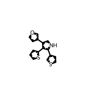 c1csc(-c2c(-c3ccoc3)c[nH]c2-c2ccsc2)c1